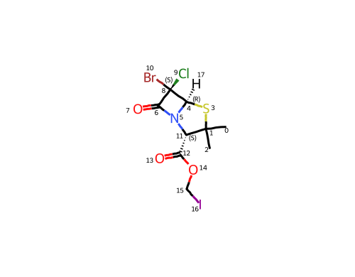 CC1(C)S[C@H]2N(C(=O)[C@]2(Cl)Br)[C@H]1C(=O)OCI